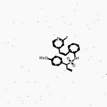 C=CC(c1ccc(OC)cc1)S(=O)(=O)Nc1ccccc1C=Cc1ccnc(F)c1